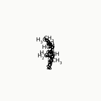 C=CC(=O)Nc1cc(Nc2nc(-c3ccnc(N4CCn5c(cc6c5CC(C)(C)C6)C4=O)c3CO)cn(C)c2=O)ccc1N1CCN(C2CCC3(CC2)SCCS3)C[C@@H]1C